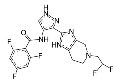 O=C(Nc1c[nH]nc1-c1nc2c([nH]1)CCN(CC(F)F)C2)c1c(F)cc(F)cc1F